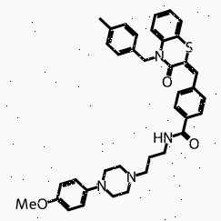 COc1ccc(N2CCN(CCCNC(=O)c3ccc(C=C4Sc5ccccc5N(Cc5ccc(C)cc5)C4=O)cc3)CC2)cc1